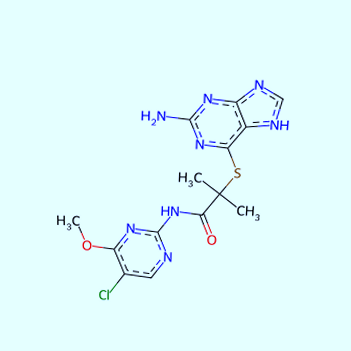 COc1nc(NC(=O)C(C)(C)Sc2nc(N)nc3nc[nH]c23)ncc1Cl